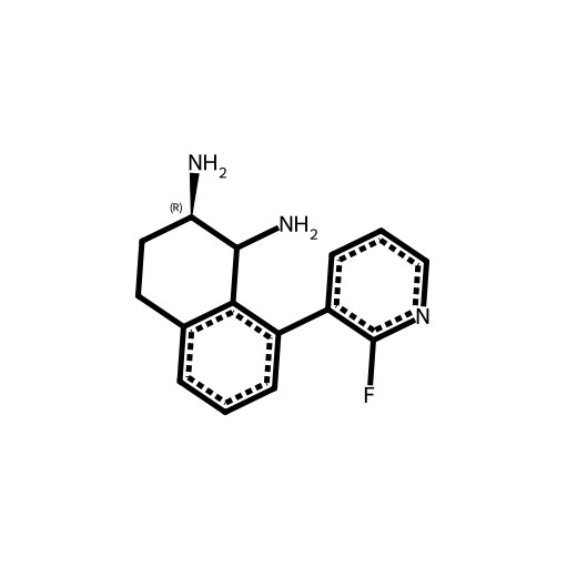 NC1c2c(cccc2-c2cccnc2F)CC[C@H]1N